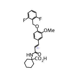 COc1cc(/C=C/C(=O)NC2(C(=O)O)CCCCC2)ccc1OCc1c(F)cccc1F